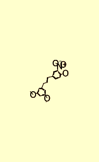 COc1cc(CC=Cc2ccc(OC)c([N+](=O)[O-])c2)cc(OC)c1